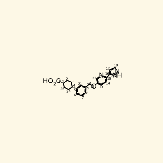 O=C(O)[C@H]1CC[C@H](c2cccc(COc3ccc(-c4ccn[nH]4)nc3)c2)CC1